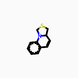 C1=CC2CSCN2c2ccccc21